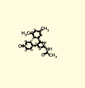 CC(=O)Nc1nc(-c2cc(C)cc(C)c2)c(-c2cc[n+]([O-])cc2)s1